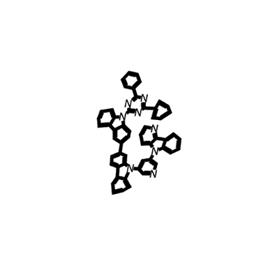 c1ccc(-c2nc(-c3ccccc3)nc(-n3c4ccccc4c4cc(-c5ccc6c7ccccc7n(-c7cncc(-n8c9ccccc9c9ncccc98)c7)c6c5)ccc43)n2)cc1